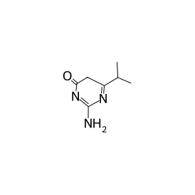 CC(C)C1=NC(N)=NC(=O)C1